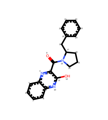 O=C(c1nc2ccccc2nc1O)N1CCCC1Cc1ccccc1